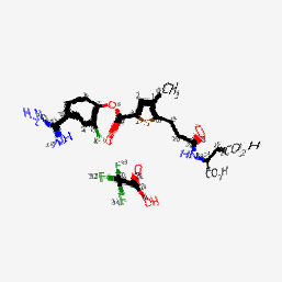 Cc1cc(C(=O)Oc2ccc(C(=N)N)cc2F)sc1CCC(=O)N[C@@H](CC(=O)O)C(=O)O.O=C(O)C(F)(F)F